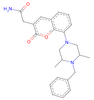 CC1CN(c2cccc3cc(CC(N)=O)c(=O)oc23)CC(C)N1Cc1ccccc1